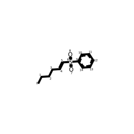 CCCCC=CS(=O)(=O)c1ccccc1